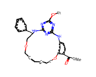 CCOc1nc2nc(n1)NC(c1ccccc1)COCCCCCCOc1cc(ccc1C(=O)OC)N2